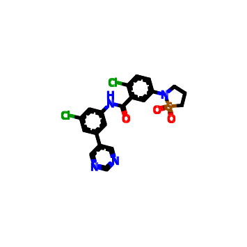 O=C(Nc1cc(Cl)cc(-c2cncnc2)c1)c1cc(N2CCCS2(=O)=O)ccc1Cl